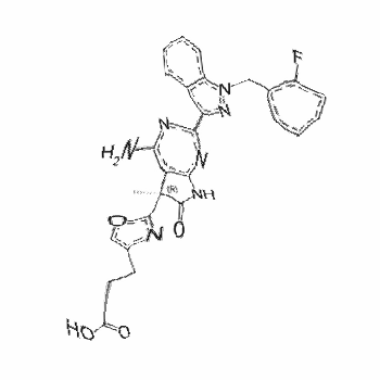 C[C@@]1(c2nc(CCC(=O)O)co2)C(=O)Nc2nc(-c3nn(Cc4ccccc4F)c4ccccc34)nc(N)c21